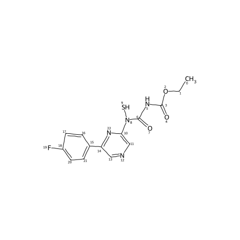 CCOC(=O)NC(=O)N(S)c1cncc(-c2ccc(F)cc2)n1